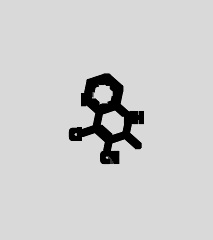 CC1Nc2cccnc2C(Cl)=C1C#N